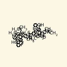 C=CC(=O)N1CC2C(=O)Oc3c(c4cc(F)c(-c5c(O)cccc5F)nc4n(-c4c(C)cc(C(=C)C(=O)N5CC6CN(CCN(C)C)c7c(c8cc(F)c(-c9c(O)cccc9F)nc8n(-c8c(C)ccnc8C(C)C)c7=O)N6CC5C)nc4C(C)C)c3=O)N2CC1C